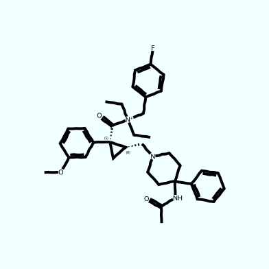 CC[N+](CC)(Cc1ccc(F)cc1)C(=O)[C@@]1(c2cccc(OC)c2)C[C@H]1CN1CCC(NC(C)=O)(c2ccccc2)CC1